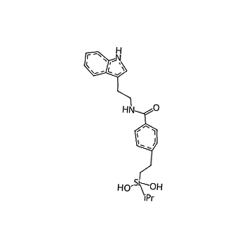 CC(C)[Si](O)(O)CCc1ccc(C(=O)NCCc2c[nH]c3ccccc23)cc1